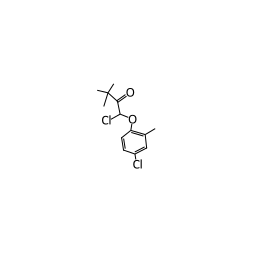 Cc1cc(Cl)ccc1OC(Cl)C(=O)C(C)(C)C